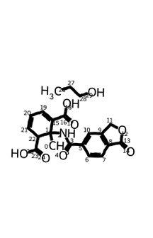 CC1(NC(=O)c2ccc3c(c2)COC3=O)C(C(=O)O)=CC=CC1C(=O)O.CCCO